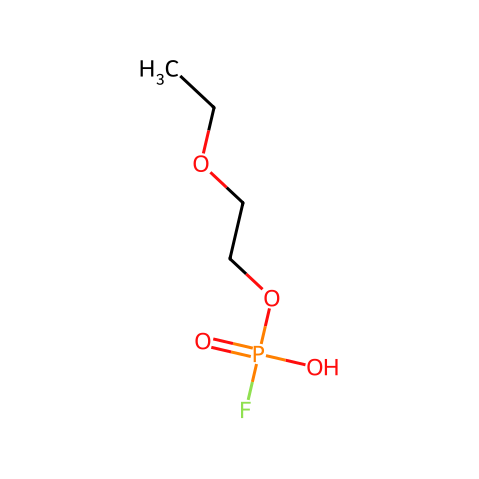 CCOCCOP(=O)(O)F